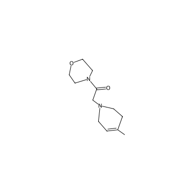 CC1=CCN(CC(=O)N2CCOCC2)CC1